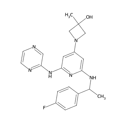 CC(Nc1cc(N2CC(C)(O)C2)cc(Nc2cnccn2)n1)c1ccc(F)cc1